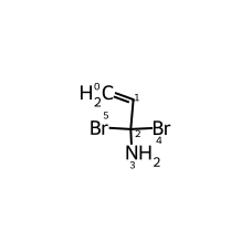 C=CC(N)(Br)Br